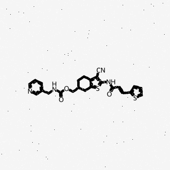 N#Cc1c(NC(=O)C=Cc2cccs2)sc2c1CCC(COC(=O)NCc1cccnc1)C2